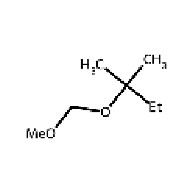 CCC(C)(C)OCOC